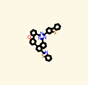 c1ccc(-c2nc(-c3ccc4c(c3)sc3ccccc34)nc(-c3cccc4oc5ccc(-c6ccc(-c7nc8ccccc8s7)cc6)cc5c34)n2)cc1